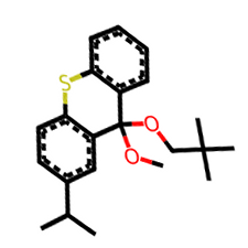 COC1(OCC(C)(C)C)c2ccccc2Sc2ccc(C(C)C)cc21